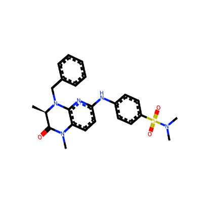 C[C@@H]1C(=O)N(C)c2ccc(Nc3ccc(S(=O)(=O)N(C)C)cc3)nc2N1Cc1ccccc1